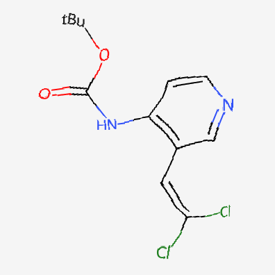 CC(C)(C)OC(=O)Nc1ccncc1C=C(Cl)Cl